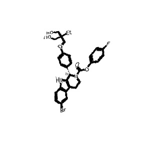 CCC(CO)(CO)COc1ccc([C@H]2c3[nH]c4ccc(Br)cc4c3CCN2C(=O)Oc2ccc(F)cc2)cc1